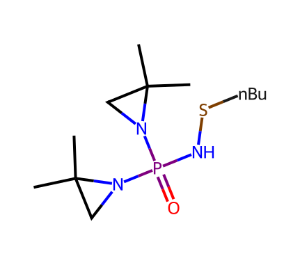 CCCCSNP(=O)(N1CC1(C)C)N1CC1(C)C